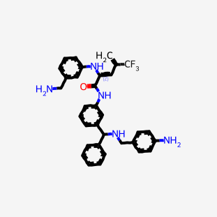 C=C(/C=C(\Nc1cccc(CN)c1)C(=O)Nc1cccc(C(NCc2ccc(N)cc2)c2ccccc2)c1)C(F)(F)F